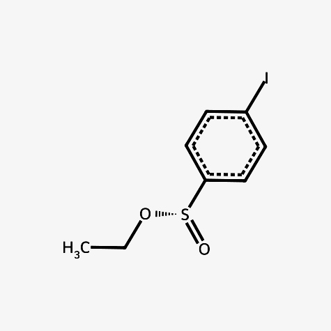 CCO[S@@](=O)c1ccc(I)cc1